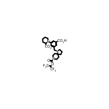 O=C(O)c1cc(CN2CCCC23CCN(C(=O)OC(C(F)(F)F)C(F)(F)F)CC3)cc(N2CCCCC2C(=O)O)c1